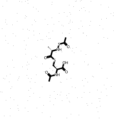 CC(=O)N[C@@H](CSC(=O)[C@H](C)NSC(C)=O)C(=O)O